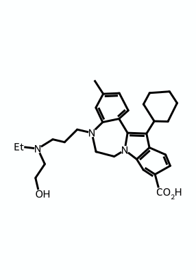 CCN(CCO)CCCN1CCn2c(c(C3CCCCC3)c3ccc(C(=O)O)cc32)-c2ccc(C)cc21